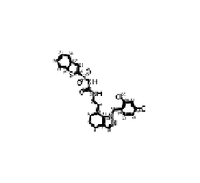 O=C(NCC=C1CCCc2cnn(Cc3ccc(Cl)cc3Cl)c21)NS(=O)(=O)c1cc2ccccc2s1